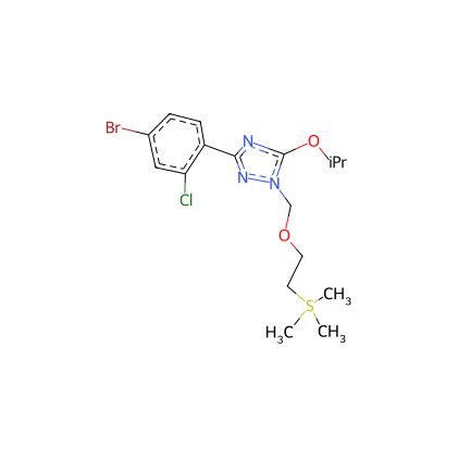 CC(C)Oc1nc(-c2ccc(Br)cc2Cl)nn1COCCS(C)(C)C